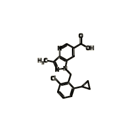 Cc1nn(Cc2c(Cl)cccc2C2CC2)c2cc(C(=O)O)cnc12